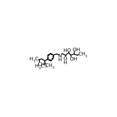 CCC(O)C(O)C(O)C(O)CNCc1ccc(C(CC(C)C)C(C)C)cc1